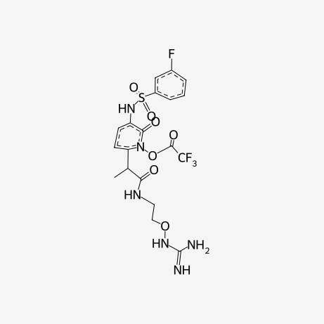 CC(C(=O)NCCONC(=N)N)c1ccc(NS(=O)(=O)c2cccc(F)c2)c(=O)n1OC(=O)C(F)(F)F